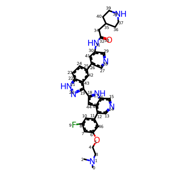 CN(C)CCOc1cc(F)cc(-c2cncc3[nH]c(-c4n[nH]c5ccc(-c6cncc(NC(=O)CC7CCNCC7)c6)cc45)cc23)c1